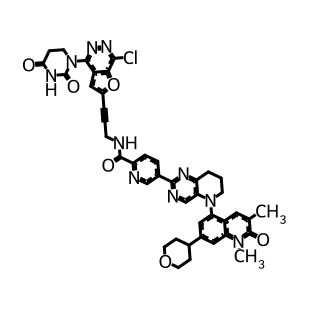 Cc1cc2c(N3CCCc4nc(-c5ccc(C(=O)NCC#Cc6cc7c(N8CCC(=O)NC8=O)nnc(Cl)c7o6)nc5)ncc43)cc(C3CCOCC3)cc2n(C)c1=O